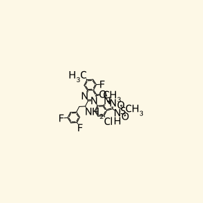 Cc1cc(F)c2c(=O)n(-c3ccc(Cl)c4c(NS(C)(=O)=O)nn(C)c34)c(C(N)Cc3cc(F)cc(F)c3)nc2c1